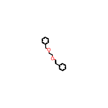 C(=Cc1ccccc1)OCCOCc1ccccc1